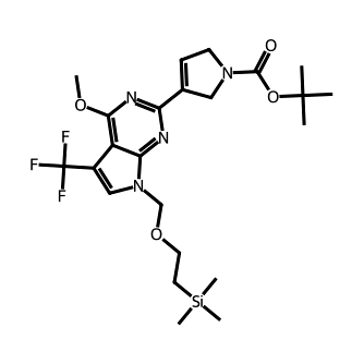 COc1nc(C2=CCN(C(=O)OC(C)(C)C)C2)nc2c1c(C(F)(F)F)cn2COCC[Si](C)(C)C